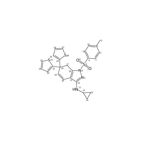 Cc1ccc(S(=O)(=O)n2nc(NC3CC3)c3c2CC(c2cccs2)(c2cccs2)C=C3)cc1